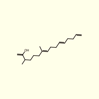 C=CCC/C=C/CC/C=C(\C)CCCC(C)C(=C)O